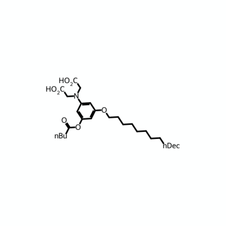 CCCCCCCCCCCCCCCCCCOc1cc(OC(=O)CCCC)cc(N(CC(=O)O)CC(=O)O)c1